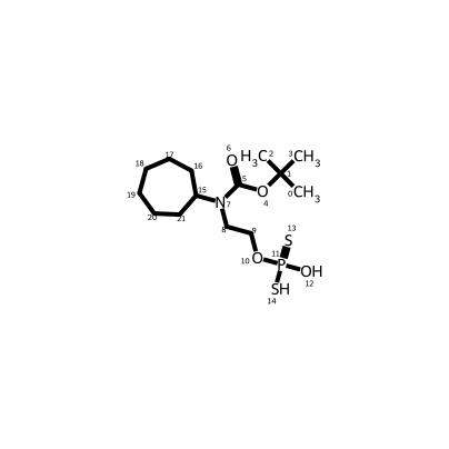 CC(C)(C)OC(=O)N(CCOP(O)(=S)S)C1CCCCCC1